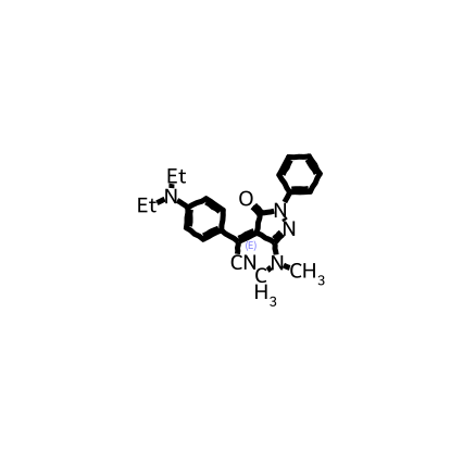 CCN(CC)c1ccc(/C(C#N)=C2\C(=O)N(c3ccccc3)N=C2N(C)C)cc1